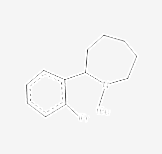 CC(C)c1ccccc1C1CCCCCN1C(C)(C)C